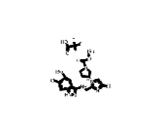 CC(C)(C)OC(=O)N1CC[C@@H](n2cc(Cl)nc2CNc2n[nH]c3cc(Cl)c(C(C)(C)C)cc23)C1.O=C(O)C(F)(F)F